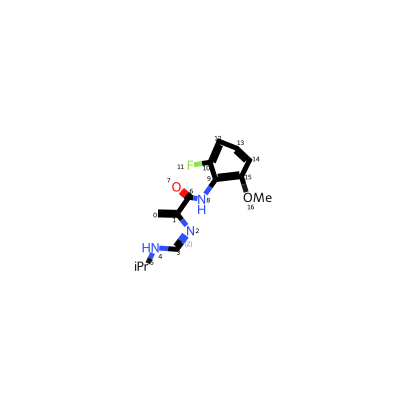 C=C(/N=C\NC(C)C)C(=O)Nc1c(F)cccc1OC